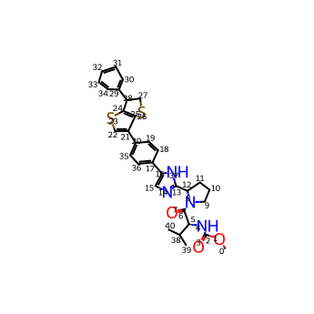 COC(=O)N[C@H](C(=O)N1CCCC1c1ncc(-c2ccc(-c3csc4c3SCC4c3ccccc3)cc2)[nH]1)C(C)C